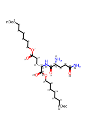 CCCCCCCCCCCCCCCCOC(=O)CC[C@H](NC(=O)[C@@H](N)CCC(N)=O)C(=O)OCCCCCCCCCCCCCCCC